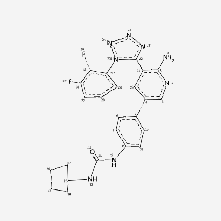 Nc1ncc(-c2ccc(NC(=O)NC3CCCC3)cc2)cc1-c1nnnn1-c1cccc(F)c1F